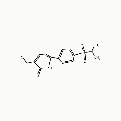 CN(C)S(=O)(=O)c1ccc(-c2ccc(CCl)c(=O)[nH]2)cc1